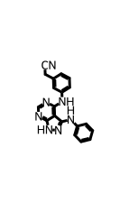 N#CCc1cccc(Nc2ncnc3[nH]nc(Nc4ccccc4)c23)c1